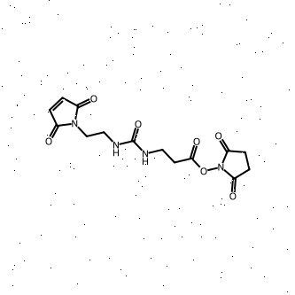 O=C(NCCC(=O)ON1C(=O)CCC1=O)NCCN1C(=O)C=CC1=O